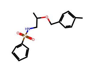 Cc1ccc(COC(C)CNS(=O)(=O)c2ccccc2)cc1